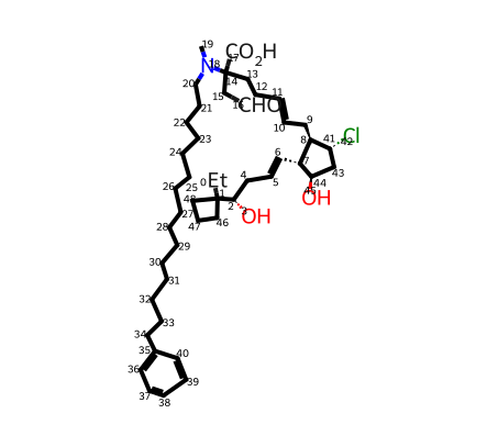 CCC1([C@@H](O)CC=C[C@@H]2[C@@H](CC=CCCC(CC=O)(C(=O)O)N(C)CCCCCCCCCCCCCCCc3ccccc3)[C@H](Cl)C[C@H]2O)CCC1